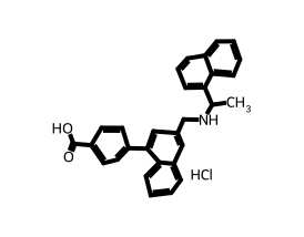 CC(NCc1cc(-c2ccc(C(=O)O)cc2)c2ccccc2c1)c1cccc2ccccc12.Cl